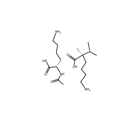 CC(=O)N[C@@H](CCCCN)C(=O)O.CN(C)[C@@](C)(CCCCN)C(=O)O